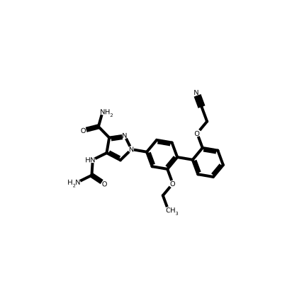 CCOc1cc(-n2cc(NC(N)=O)c(C(N)=O)n2)ccc1-c1ccccc1OCC#N